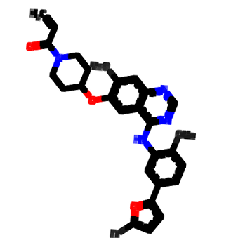 C=CC(=O)N1CCC(Oc2cc3c(Nc4cc(-c5ccc(CC)o5)ccc4OC)ncnc3cc2OC)CC1